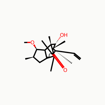 C=C[C@]1(C)C[C@@H](O)[C@@]2(C)C3[C@H](OC)[C@H](C)CC3(CC[C@H]2C)C(C)C1=O